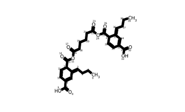 CCCC=C1C=C(C(=O)O)C=CC1C(=O)OC(=O)CCCCC(=O)OC(=O)C1C=CC(C(=O)O)=CC1=CCCC